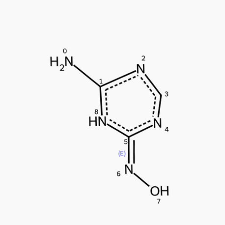 Nc1ncn/c(=N\O)[nH]1